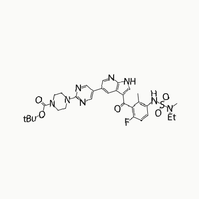 CCN(C)S(=O)(=O)Nc1ccc(F)c(C(=O)c2c[nH]c3ncc(-c4cnc(N5CCN(C(=O)OC(C)(C)C)CC5)nc4)cc23)c1C